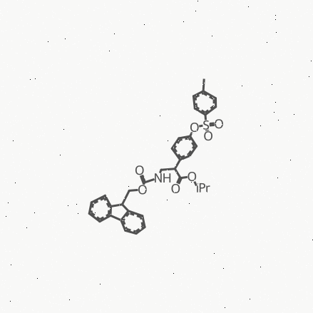 Cc1ccc(S(=O)(=O)Oc2ccc(C(CNC(=O)OCC3c4ccccc4-c4ccccc43)C(=O)OC(C)C)cc2)cc1